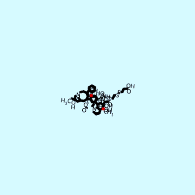 CC[C@]1(O)CC2CN(CCc3c([nH]c4ccccc34)[C@@](COC=O)(c3cc4c(cc3OC)N(C)[C@@H]3[C@]45CCN4CC=C[C@@](CC)([C@@H](O)[C@]3(O)[C@H](NNO)C(=O)OCCSSCCC(=O)O)[C@H]45)C2)C1